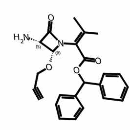 C#CCO[C@@H]1[C@H](N)C(=O)N1C(C(=O)OC(c1ccccc1)c1ccccc1)=C(C)C